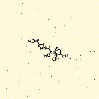 Cc1csc(C(O)CNCCCO)c1Cl